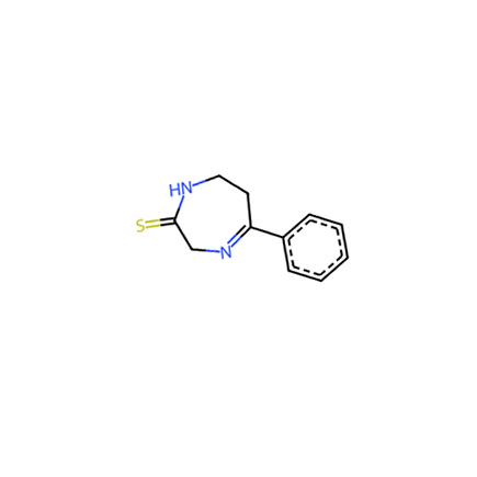 S=C1CN=C(c2ccccc2)CCN1